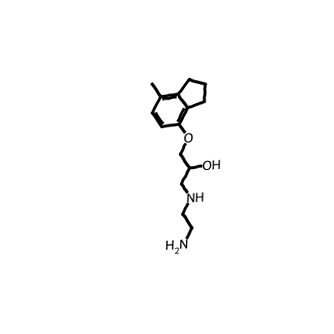 Cc1ccc(OCC(O)CNCCN)c2c1CCC2